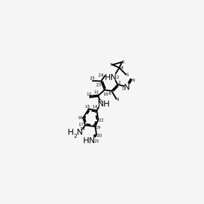 C=N/C(NC1(C)CC1)=C(\C)C(C(=C)Nc1ccc(N)c(C=N)c1)=C(C)C